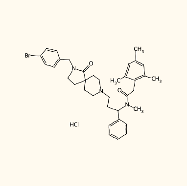 Cc1cc(C)c(CC(=O)N(C)C(CCN2CCC3(CC2)CCN(Cc2ccc(Br)cc2)C3=O)c2ccccc2)c(C)c1.Cl